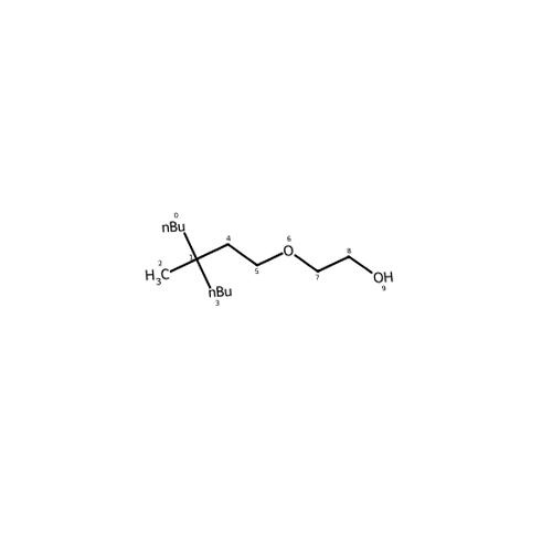 CCCCC(C)(CCCC)CCOCCO